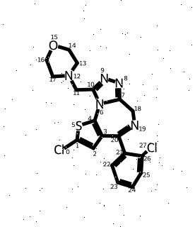 Clc1cc2c(s1)-n1c(nnc1CN1CCOCC1)CN=C2c1ccccc1Cl